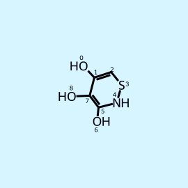 OC1=CSNC(O)=C1O